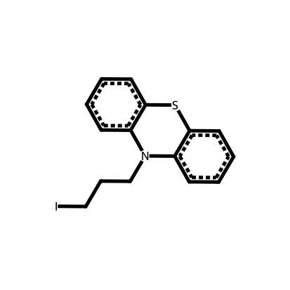 ICCCN1c2ccccc2Sc2ccccc21